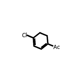 CC(=O)C1=CC=C(Cl)CC1